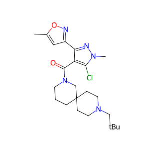 Cc1cc(-c2nn(C)c(Cl)c2C(=O)N2CCCC3(CCN(CC(C)(C)C)CC3)C2)no1